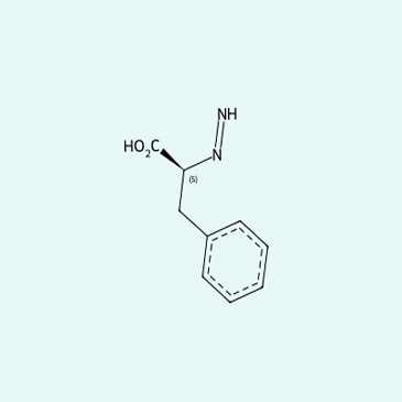 N=N[C@@H](Cc1ccccc1)C(=O)O